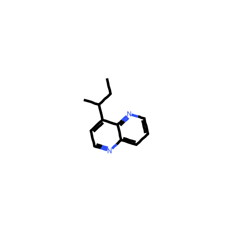 CCC(C)c1ccnc2cccnc12